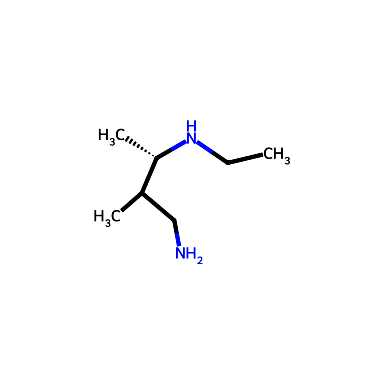 CCN[C@@H](C)C(C)CN